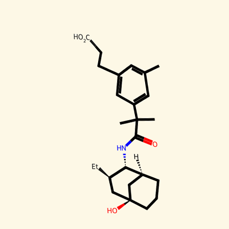 CC[C@@H]1C[C@@]2(O)CCC[C@@H](C2)[C@H]1NC(=O)C(C)(C)c1cc(C)cc(CCC(=O)O)c1